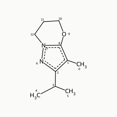 Cc1c(C(C)C)nn2c1OCCC2